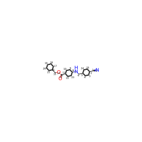 N#Cc1ccc(CNc2ccc(C(=O)OCc3ccccc3)cc2)cc1